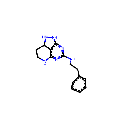 c1ccc(CCNc2nc3c4c(n2)NNC4CCN3)cc1